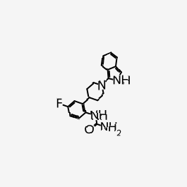 NC(=O)Nc1ccc(F)cc1C1CCN(c2[nH]cc3ccccc23)CC1